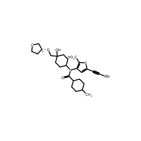 CC1CCC(C(=O)N(c2cc(C#CC(C)(C)C)sc2C(=O)O)C2CCC(O)(CO[C@@H]3CCOC3)CC2)CC1